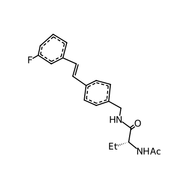 CC[C@@H](NC(C)=O)C(=O)NCc1ccc(/C=C/c2cccc(F)c2)cc1